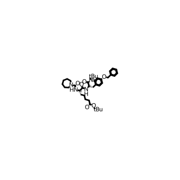 CC(C)(C)NC(=O)[C@H](Cc1ccc(OCc2ccccc2)cc1)NC(=O)[C@H](CCCCC(=O)OC(C)(C)C)NC(=O)N1CCCCCC1